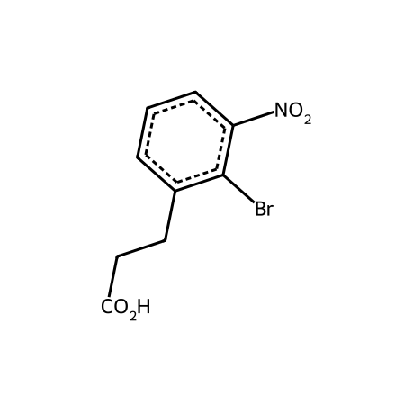 O=C(O)CCc1cccc([N+](=O)[O-])c1Br